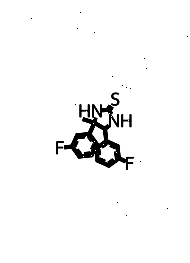 CC1(c2cccc(F)c2)NC(=S)NC1c1cccc(F)c1